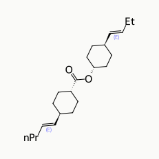 CC/C=C/[C@H]1CC[C@H](OC(=O)[C@H]2CC[C@H](/C=C/CCC)CC2)CC1